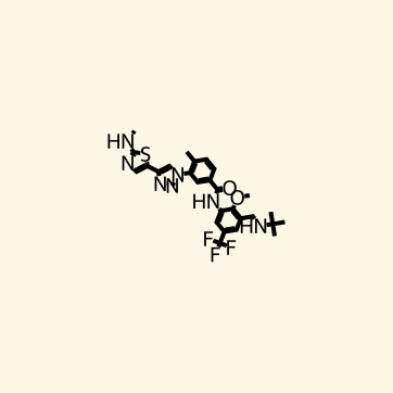 CNc1ncc(-c2cn(-c3cc(C(=O)Nc4cc(C(F)(F)F)cc(CNC(C)(C)C)c4OC)ccc3C)nn2)s1